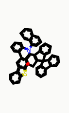 C1=C(N(c2ccccc2-c2ccc3sc4ccccc4c3c2)c2cccc3ccccc23)C2=C(CC1)C1(c3ccccc32)c2ccccc2-c2ccccc21